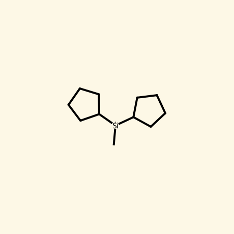 C[Si](C1CCCC1)C1CCCC1